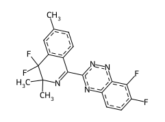 Cc1ccc2c(c1)C(F)(F)C(C)(C)N=C2c1nnc2c(F)c(F)ccc2n1